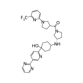 O=C(C1CCN(c2cccc(C(F)(F)F)n2)C1)N1CC[C@H](NC2CCC(O)(c3ccc(-c4ncccn4)cn3)CC2)C1